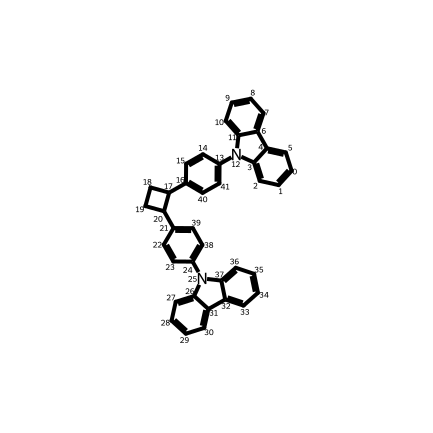 c1ccc2c(c1)c1ccccc1n2-c1ccc(C2CCC2c2ccc(-n3c4ccccc4c4ccccc43)cc2)cc1